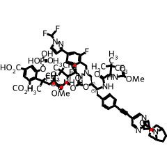 COC(=O)N[C@H](C(=O)N[C@@H](Cc1ccc(C#Cc2cnc(N3CC4CCC(C3)N4C3COC3)nc2)cc1)[C@H](CN(Cc1c(F)cc(-c2ccn(C(F)F)n2)cc1F)NC(=O)[C@@H](NC(=O)OC)C(C)(C)C(F)(F)F)OC(=O)OCOC(=O)CC(C)(C)c1c(OP(=O)(O)O)cc(C(=O)O)cc1C(=O)O)C(C)(C)C(F)(F)F